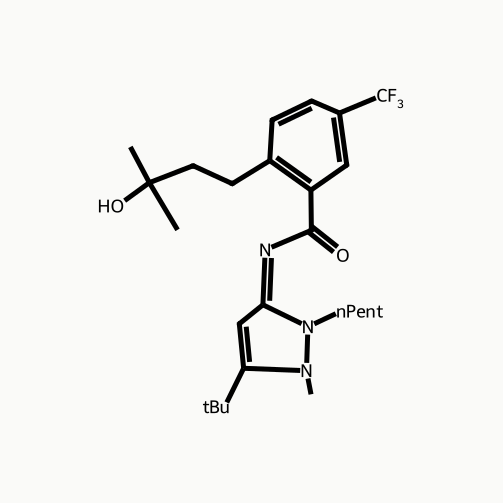 CCCCCn1c(=NC(=O)c2cc(C(F)(F)F)ccc2CCC(C)(C)O)cc(C(C)(C)C)n1C